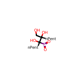 CCCCCC(O)(CO)C(O)(CCCCC)P(=O)=O